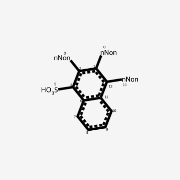 CCCCCCCCCc1c(CCCCCCCCC)c(S(=O)(=O)O)c2ccccc2c1CCCCCCCCC